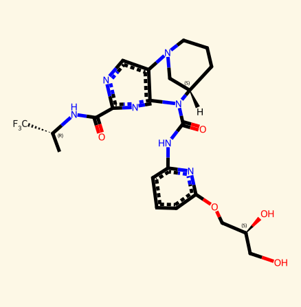 C[C@@H](NC(=O)c1ncc2c(n1)N(C(=O)Nc1cccc(OC[C@@H](O)CO)n1)[C@H]1CCCN2C1)C(F)(F)F